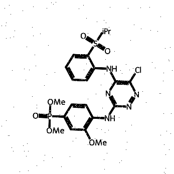 COc1cc(P(=O)(OC)OC)ccc1Nc1nnc(Cl)c(Nc2ccccc2S(=O)(=O)C(C)C)n1